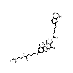 Cc1cc(OCCCC(=O)NCCNC=O)cc(C)c1S(=O)(=O)NC(CNC(=O)CCCCc1ccc2c(n1)NCCC2)C(=O)O